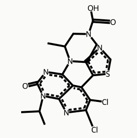 CC1CN(C(=O)O)CCN1c1nc(=O)n(C(C)C)c2nc(Cl)c(Cl)c(-c3cncs3)c12